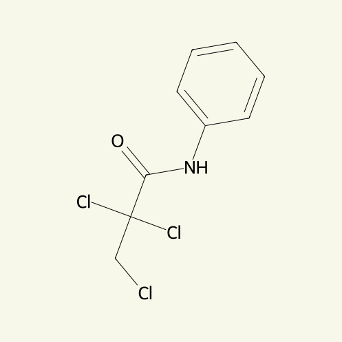 O=C(Nc1ccccc1)C(Cl)(Cl)CCl